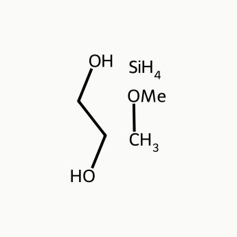 COC.OCCO.[SiH4]